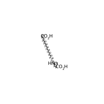 O=C(O)/C=C\C(=O)NCCCCCCCCCCCCCCCCCCC(=O)O